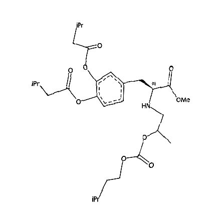 COC(=O)[C@H](Cc1ccc(OC(=O)CC(C)C)c(OC(=O)CC(C)C)c1)NCC(C)OC(=O)OCCC(C)C